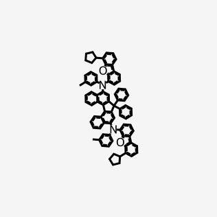 Cc1cccc(N(c2cc3c(c4ccccc24)-c2c(cc(N(c4cccc(C)c4)c4cccc5c4oc4c(C6CCCC6)cccc45)c4ccccc24)C3(c2ccccc2)c2ccccc2)c2cccc3c2oc2c(C4CCCC4)cccc23)c1